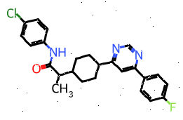 CC(C(=O)Nc1ccc(Cl)cc1)C1CCC(c2cc(-c3ccc(F)cc3)ncn2)CC1